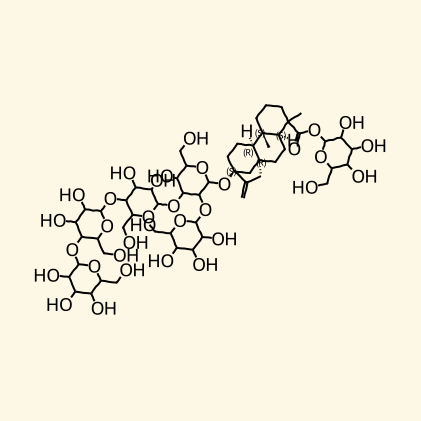 C=C1C[C@@]23CC[C@@H]4C(C)(C(=O)OC5OC(CO)C(O)C(O)C5O)CCC[C@@]4(C)[C@@H]2CC[C@]1(OC1OC(CO)C(O)C(OC2OC(CO)C(OC4OC(CO)C(OC5OC(CO)C(O)C(O)C5O)C(O)C4O)C(O)C2O)C1OC1OC(CO)C(O)C(O)C1O)C3